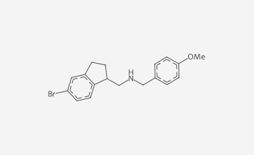 COc1ccc(CNCC2CCc3cc(Br)ccc32)cc1